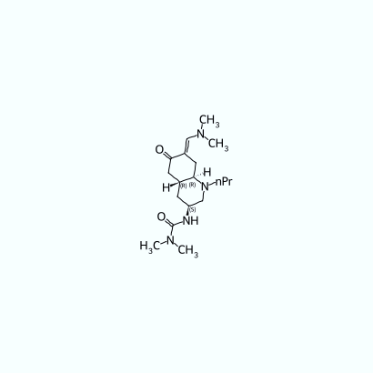 CCCN1C[C@@H](NC(=O)N(C)C)C[C@@H]2CC(=O)C(=CN(C)C)C[C@H]21